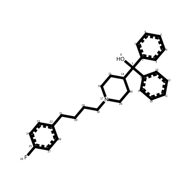 OC(c1ccccc1)(c1ccccc1)C1CCN(CCCCc2ccc(F)cc2)CC1